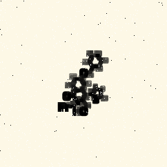 CC(C)Cn1c(CO)c(-c2cccs2)c2cc(OCc3ccccc3)ccc2c1=O